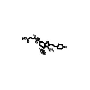 Br.Br.Cn1c(CCC2CCNCC2)nc2cc(S(=O)(=O)NCCC(=O)O)ccc21